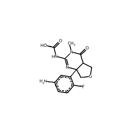 CN1C(=O)C2COCC2(c2cc(N)ccc2F)N=C1NC(=O)O